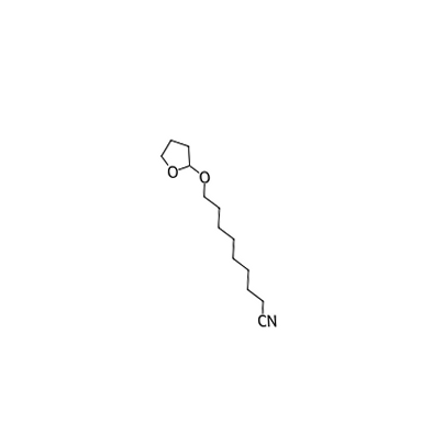 N#CCCCCCCCCOC1CCCO1